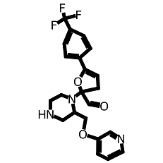 O=CC1(N2CCNCC2COc2cccnc2)CC=C(c2ccc(C(F)(F)F)cc2)O1